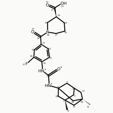 C[C@]12CC3CC(NC(=O)Nc4ccc(C(=O)N5CCC[C@H](C(=O)O)C5)cc4F)(C1)C[C@@](C)(C3)C2